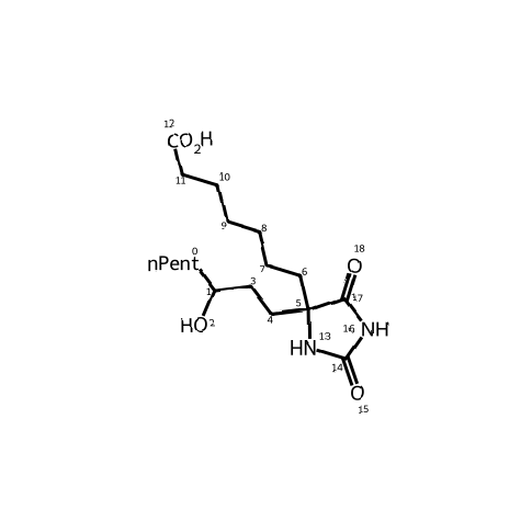 CCCCCC(O)CCC1(CCCCCCC(=O)O)NC(=O)NC1=O